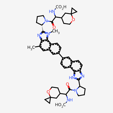 Cc1cc2cc(-c3ccc4c(ccc5nc(C6CCCN6C(=O)C(NC(=O)O)C6CCOC7(CC7)C6)[nH]c54)c3)ccc2c2c1nc([C@@H]1CCCN1C(=O)C(NC(=O)O)C1CCOC3(CC3)C1)n2C